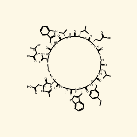 COc1cccc(C[C@@H]2NC(=O)[C@H](Cc3c[nH]c4ccccc34)NC(=O)[C@H](C)NC(=O)[C@@H](NC(=O)[C@H](CC(=O)O)NC(C)=O)CSSC[C@@H](C(=O)N[C@H](C(=O)O)[C@@H](C)O)NC(=O)[C@H](Cc3c[nH]c4ccccc34)NC(=O)[C@H](C(C)C)NC(=O)[C@H](CC(C)C)NC(=O)[C@H](CCC(=O)O)NC(=O)CNC(=O)[C@H](CC(C)C)NC2=O)c1